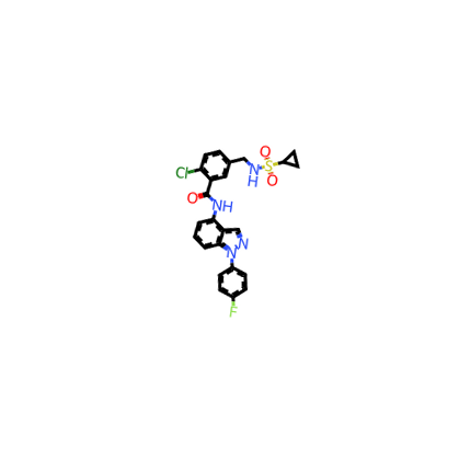 O=C(Nc1cccc2c1cnn2-c1ccc(F)cc1)c1cc(CNS(=O)(=O)C2CC2)ccc1Cl